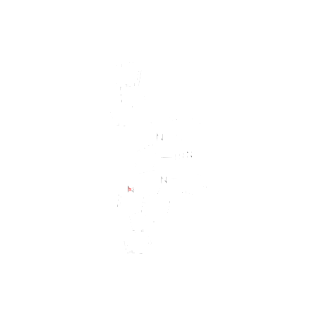 N#Cc1ccc(-n2c3ccccc3c3cc4c5c(cccc5c32)-c2ccccc2-4)c(C#N)c1-n1c2ccccc2c2cc3c4c(cccc4c21)-c1ccccc1-3